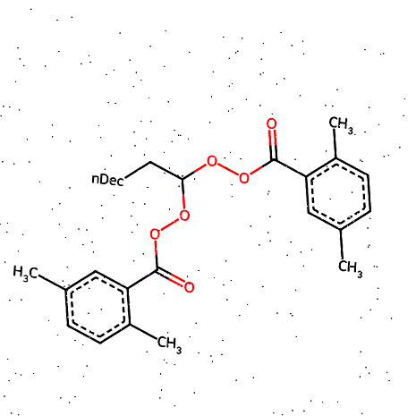 [CH2]CCCCCCCCCC[C](OOC(=O)c1cc(C)ccc1C)OOC(=O)c1cc(C)ccc1C